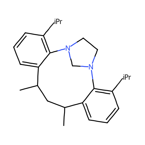 CC(C)c1cccc2c1N1CCN(C1)c1c(C(C)C)cccc1C(C)CC2C